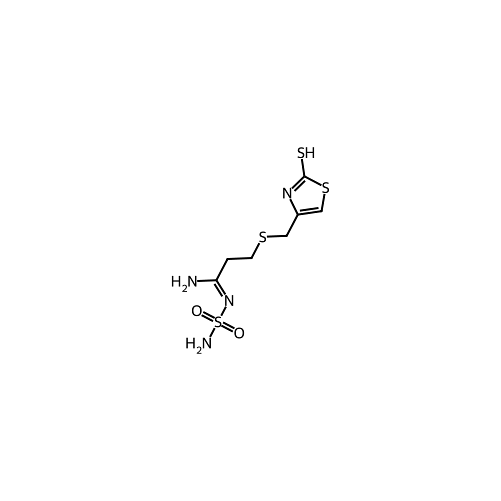 NC(CCSCc1csc(S)n1)=NS(N)(=O)=O